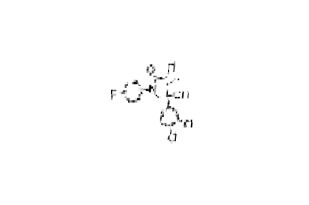 [CH2]CC(O)(CN(C(=O)CCl)c1ccc(F)cc1)c1ccc(Cl)c(Cl)c1